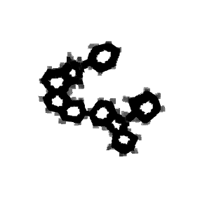 c1ccc(-n2nc3ccc4ccc5ccc(-c6ccc7c(c6)c6ccccc6n7-c6ccccc6)cc5c4c3n2)cc1